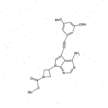 COc1cc(C#Cc2cn(C3CN(C(=O)OC(C)(C)C)C3)c3ncnc(N)c23)cc(OC)c1